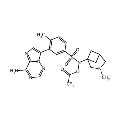 Cc1ccc(S(=O)(=O)N(OC(=O)C(F)(F)F)C23CC(CN(C)C2)C3)cc1-c1cnc2c(N)ncnn12